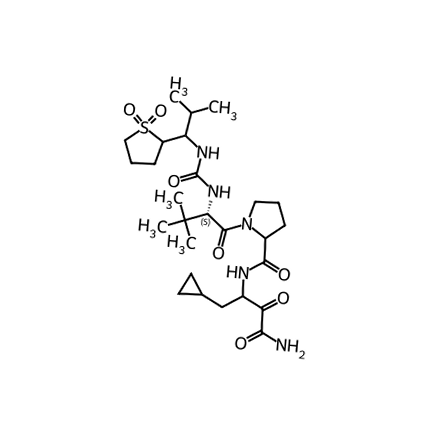 CC(C)C(NC(=O)N[C@H](C(=O)N1CCCC1C(=O)NC(CC1CC1)C(=O)C(N)=O)C(C)(C)C)C1CCCS1(=O)=O